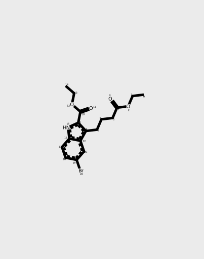 CCOC(=O)CCCc1c(C(=O)OCC)[nH]c2ccc(Br)cc12